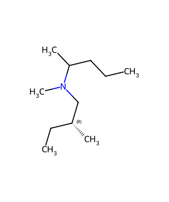 CCCC(C)N(C)C[C@H](C)CC